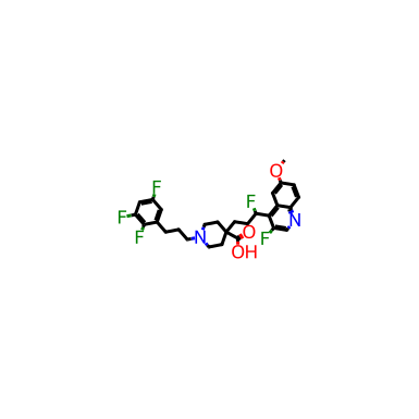 COc1ccc2ncc(F)c(C(F)CCC3(C(=O)O)CCN(CCCc4cc(F)cc(F)c4F)CC3)c2c1